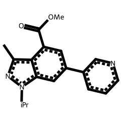 COC(=O)c1cc(-c2cccnc2)cc2c1c(C)nn2C(C)C